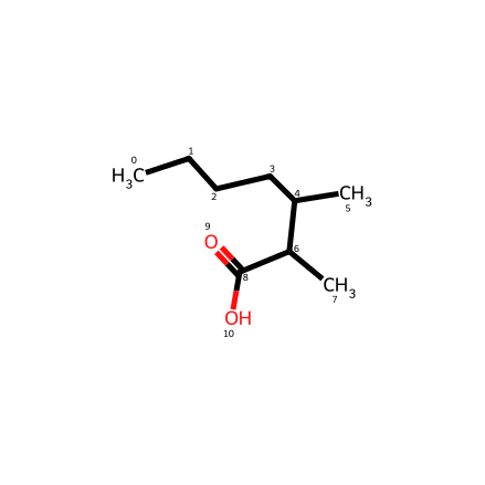 CCCCC(C)C(C)C(=O)O